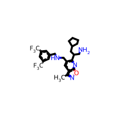 Cc1noc2nc(C(CN)CC3CCCC3)c(CNCc3cc(C(F)(F)F)cc(C(F)(F)F)c3)cc12